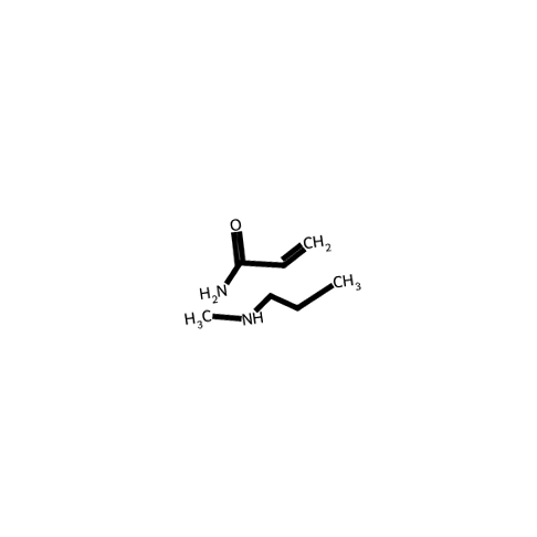 C=CC(N)=O.CCCNC